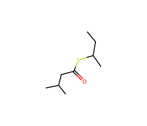 CCC(C)SC(=O)CC(C)C